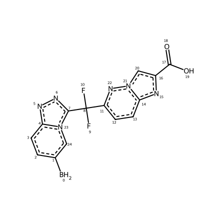 Bc1ccc2nnc(C(F)(F)c3ccc4nc(C(=O)O)cn4n3)n2c1